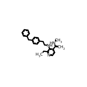 C=C(NC)c1ccnc(CC)c1NCCc1ccc(Cc2ccccc2)cc1